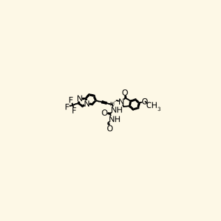 COc1ccc2c(c1)C(=O)N(C[C@@H](C#Cc1ccc3nc(C(F)(F)F)cn3c1)NC(=O)NC=O)C2